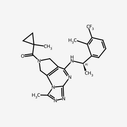 Cc1c([C@@H](C)Nc2nc3nnc(C)n3c3c2CN(C(=O)C2(C)CC2)C3)cccc1C(F)(F)F